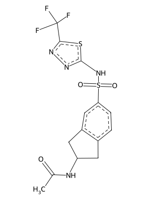 CC(=O)NC1Cc2ccc(S(=O)(=O)Nc3nnc(C(F)(F)F)s3)cc2C1